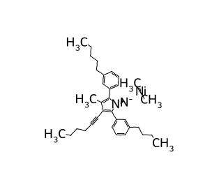 CCCCC#CC1=C(c2cccc(CCCC)c2)[N+](=[N-])C(c2cccc(CCCCC)c2)=C1C.[CH3][Ni][CH3]